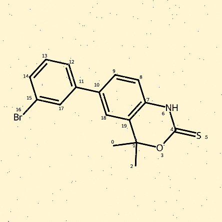 CC1(C)OC(=S)Nc2ccc(-c3cccc(Br)c3)cc21